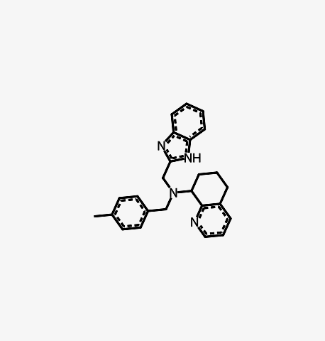 Cc1ccc(CN(Cc2nc3ccccc3[nH]2)C2CCCc3cccnc32)cc1